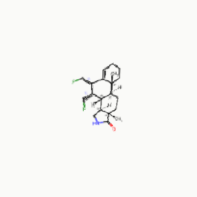 C[C@]12CCCC=C1C(=C/F)/C(=C/F)[C@@H]1[C@@H]2CC[C@]2(C)C(=O)NC[C@@H]12